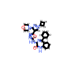 O=C1Nc2ccccc2C(c2ccccc2)=N[C@@H]1Nc1nnc(-c2cn(C3CCC3)nc2N2CCOCC2)o1